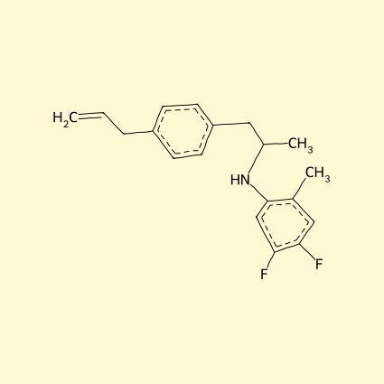 C=CCc1ccc(CC(C)Nc2cc(F)c(F)cc2C)cc1